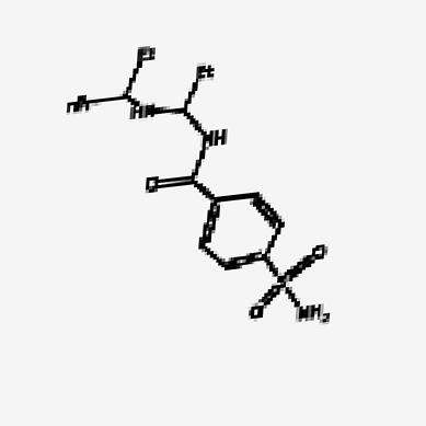 CCCC(CC)NC(CC)NC(=O)c1ccc(S(N)(=O)=O)cc1